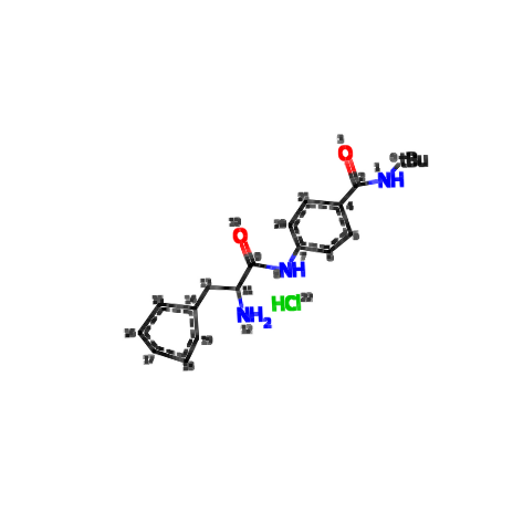 CC(C)(C)NC(=O)c1ccc(NC(=O)C(N)Cc2ccccc2)cc1.Cl